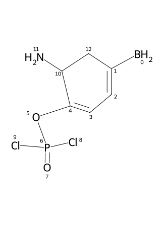 BC1=CC=C(OP(=O)(Cl)Cl)C(N)C1